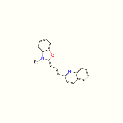 CCN1C(=CC=Cc2ccc3ccccc3n2)Oc2ccccc21